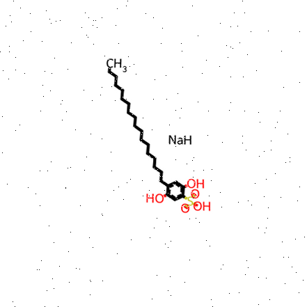 CCCCCCCCCCCCCCCCCCc1cc(O)c(S(=O)(=O)O)cc1O.[NaH]